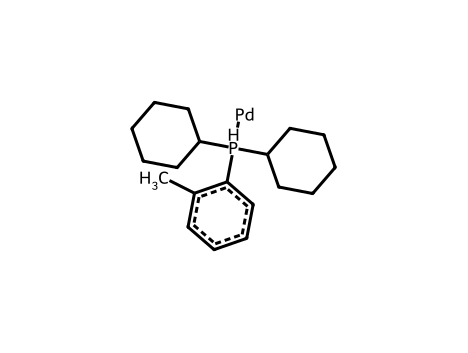 Cc1ccccc1[PH]([Pd])(C1CCCCC1)C1CCCCC1